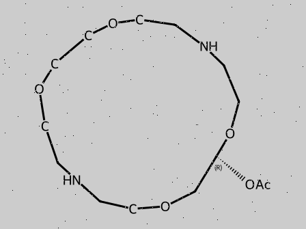 CC(=O)O[C@@H]1COCCNCCOCCOCCNCCO1